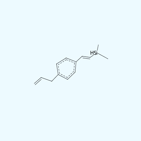 C=CCc1ccc(C=C[SiH](C)C)cc1